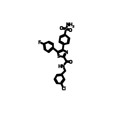 NS(=O)(=O)c1ccc(-c2nc(C(=O)NCc3cccc(Cl)c3)sc2-c2ccc(F)cc2)cc1